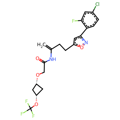 C=C(CCc1cc(-c2ccc(Cl)cc2F)no1)NC(=O)CO[C@H]1C[C@@H](OC(F)(F)F)C1